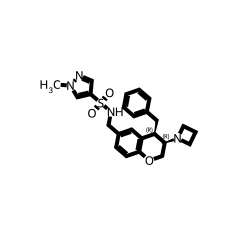 Cn1cc(S(=O)(=O)NCc2ccc3c(c2)[C@@H](Cc2ccccc2)[C@@H](N2CCC2)CO3)cn1